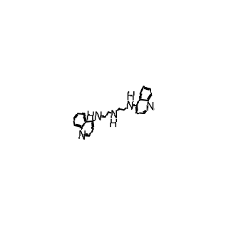 c1ccc2c(NCCNCCNc3ccnc4ccccc34)ccnc2c1